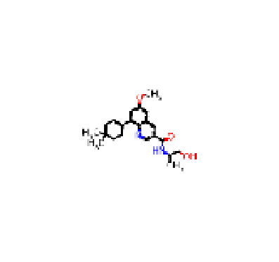 COc1cc(C2=CCC(C)(C)CC2)c2ncc(C(=O)NC(C)CO)cc2c1